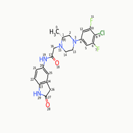 C[C@@H]1CN(c2cc(F)c(Cl)c(F)c2)CCN1CC(=O)Nc1ccc2c(c1)CC(=O)N2